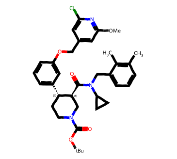 COc1cc(COc2cccc([C@H]3CCN(C(=O)OC(C)(C)C)C[C@@H]3C(=O)N(Cc3cccc(C)c3C)C3CC3)c2)cc(Cl)n1